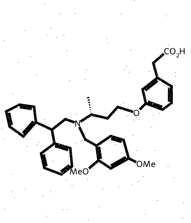 COc1ccc(CN(CC(c2ccccc2)c2ccccc2)[C@H](C)CCOc2cccc(CC(=O)O)c2)c(OC)c1